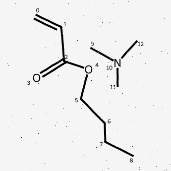 C=CC(=O)OCCCC.CN(C)C